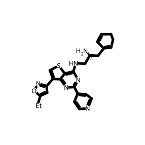 CCc1cc(-c2csc3c(NC[C@@H](N)CC4=CCCC=C4)nc(-c4ccncc4)nc23)no1